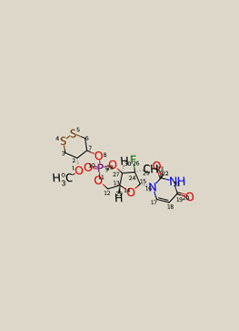 CO[C@@H]1CSSCC1OP1(=O)OC[C@H]2O[C@@H](n3ccc(=O)[nH]c3=O)[C@](C)(F)[C@@H]2O1